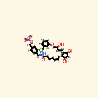 O=C(CCC/C=C\C[C@@H]1[C@@H](/C=C/[C@@H](O)COc2cccc(Cl)c2)[C@H](O)C[C@@H]1O)NCc1ccc(CO[N+](=O)[O-])cc1